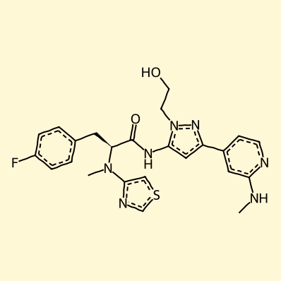 CNc1cc(-c2cc(NC(=O)[C@H](Cc3ccc(F)cc3)N(C)c3cscn3)n(CCO)n2)ccn1